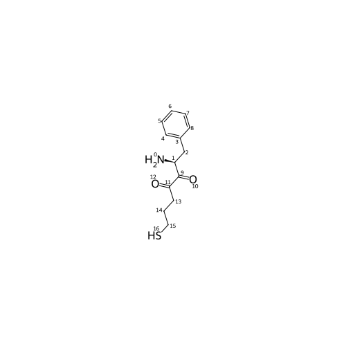 N[C@@H](Cc1ccccc1)C(=O)C(=O)CCCS